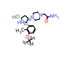 Cl.[2H]C([2H])([2H])Oc1cccc([C@@H]2NCC[C@@H]2N2CCN(CC(N)=O)CC2)c1C